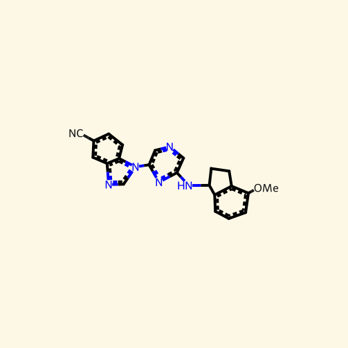 COc1cccc2c1CCC2Nc1cncc(-n2cnc3cc(C#N)ccc32)n1